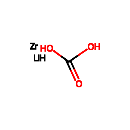 O=C(O)O.[LiH].[Zr]